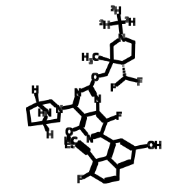 [2H]C([2H])([2H])N1CC[C@H](C(F)F)[C@](C)(COc2nc(N3C[C@H]4CC[C@@H](C3)N4)c3c(OCC)nc(-c4cc(O)cc5ccc(F)c(C#C)c45)c(F)c3n2)C1